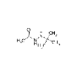 CC(=O)NNC(C)(C)C